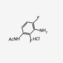 CC(=O)Nc1ccc(F)c(N)c1F.Cl